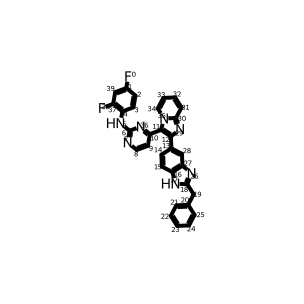 Fc1ccc(Nc2nccc(-c3c(-c4ccc5[nH]c(Cc6ccccc6)nc5c4)nc4ccccn34)n2)c(F)c1